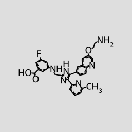 Cc1cccc(-c2nc(CNc3cc(F)cc(C(=O)O)c3)[nH]c2-c2ccc3ncc(OCCN)cc3c2)n1